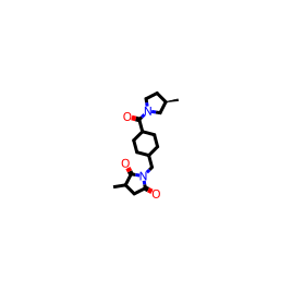 CC1CC(=O)N(CC2CCC(C(=O)N3CC[C@@H](C)C3)CC2)C1=O